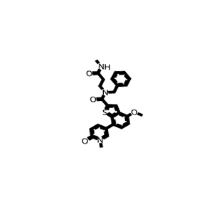 CNC(=O)CCN(Cc1ccccc1)C(=O)c1cc2c(OC)ccc(-c3ccc(=O)n(C)c3)c2s1